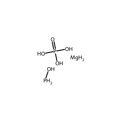 O=P(O)(O)O.OP.[MgH2]